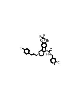 O=C(NCc1ccnc(Cl)c1)n1c2c(c3cc(OC(F)(F)F)c(Br)cc31)CN(CC=Cc1ccc(Cl)cc1)CC2